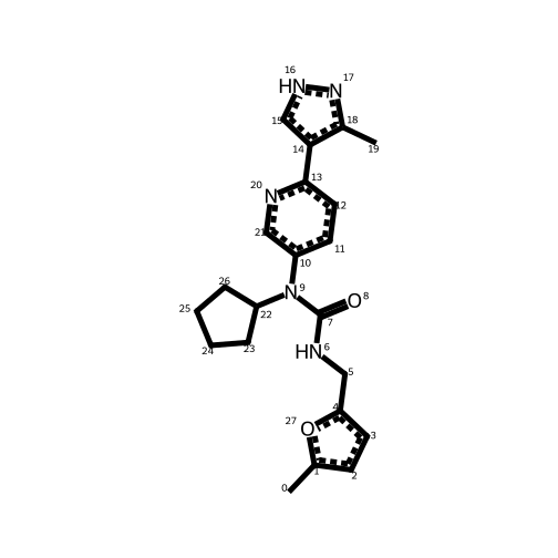 Cc1ccc(CNC(=O)N(c2ccc(-c3c[nH]nc3C)nc2)C2CCCC2)o1